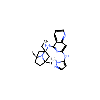 Cn1nccc1Nc1cc2ncccc2c(N[C@@H]2C[C@H]3CC[C@@H](C2)N3CCC#N)n1